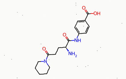 N[C@@H](CCC(=O)N1CCCCC1)C(=O)Nc1ccc(C(=O)O)cc1